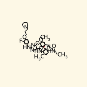 CCCNC(=O)CCc1ccc(Oc2nc(Nc3ccc(OCCCN4CCCCC4)c(F)c3)ncc2C(=O)Nc2c(C)cccc2C)c(OC)c1